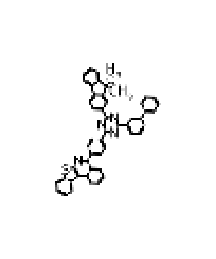 CC1(C)c2ccccc2-c2ccc(-c3nc(-c4ccc(-c5nc6sc7ccccc7c6c6ccccc56)cc4)nc(-c4cccc(-c5ccccc5)c4)n3)cc21